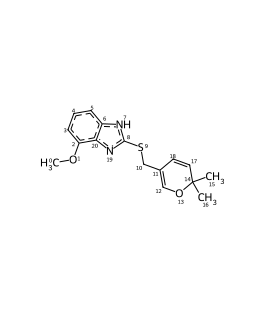 COc1cccc2[nH]c(SCC3=COC(C)(C)C=C3)nc12